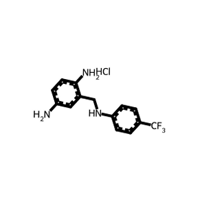 Cl.Nc1ccc(N)c(CNc2ccc(C(F)(F)F)cc2)c1